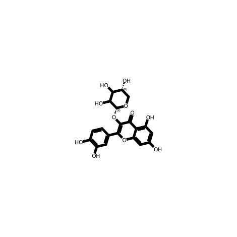 O=c1c(O[C@H]2OC[C@@H](O)C(O)C2O)c(-c2ccc(O)c(O)c2)oc2cc(O)cc(O)c12